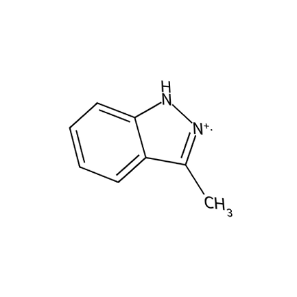 CC1=[N+]Nc2ccccc21